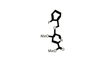 COC(=O)c1cc(OC)c(OCc2ccccc2F)cn1